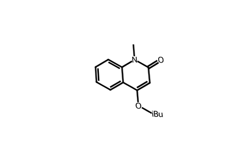 CCC(C)Oc1cc(=O)n(C)c2ccccc12